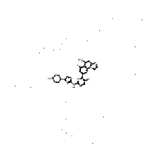 Oc1cc2nccn2c2cc(-c3nc(Nc4nc(C5CCNCC5)cs4)ncc3F)cc(F)c12